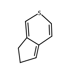 C1=CC2=CCCC2=CS1